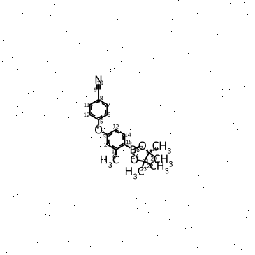 Cc1cc(Oc2ccc(C#N)cc2)ccc1B1OC(C)(C)C(C)(C)O1